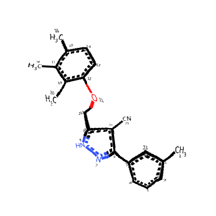 Cc1cccc(-c2n[nH]c(COc3ccc(C)c(C)c3C)c2C#N)c1